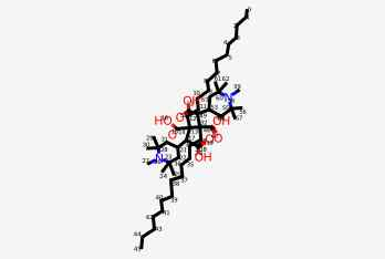 CCCCCCCCCCCCCC(C(=O)O)(C(C(=O)O)C1CC(C)(C)N(C)C(C)(C)C1)C(CCCCCCCCCCCCC)(C(=O)O)C(C(=O)O)C1CC(C)(C)N(C)C(C)(C)C1